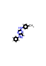 Cc1ccc(Nc2cnc3c(cnn3-c3ccccc3)n2)cc1